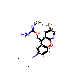 C/N=C(/N)OCC1c2cc(I)ccc2Oc2ncc(Br)cc21